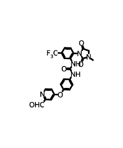 CN1CC(=O)N(c2ccc(C(F)(F)F)cc2NC(=O)Nc2ccc(Oc3ccnc(C=O)c3)cc2)C1=O